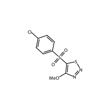 COc1nnsc1S(=O)(=O)c1ccc(Cl)cc1